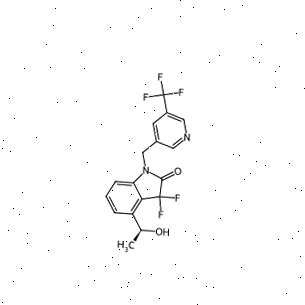 C[C@H](O)c1cccc2c1C(F)(F)C(=O)N2Cc1cncc(C(F)(F)F)c1